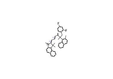 C=C(/C=C/C=C1/N(C)c2ccc3ccccc3c2C1(C)C)C(C)(Cc1ccc(F)cc1F)c1c(C)ccc2ccccc12